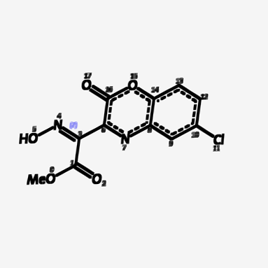 COC(=O)/C(=N\O)c1nc2cc(Cl)ccc2oc1=O